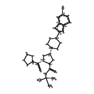 CC(C)(C)OC(=O)N1C[C@@H](N2CCN(c3nc4ccc(Cl)cc4s3)CC2)C[C@H]1C(=O)N1CCSC1